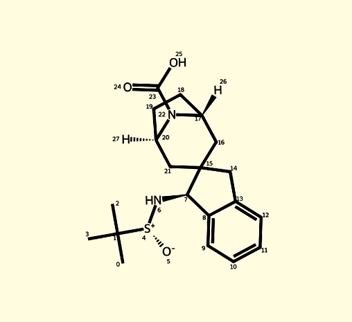 CC(C)(C)[S@@+]([O-])N[C@@H]1c2ccccc2CC12C[C@H]1CC[C@H](C2)N1C(=O)O